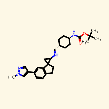 Cn1cc(-c2ccc3c(c2)C2(CC3)CC2NC[C@H]2CC[C@H](NC(=O)OC(C)(C)C)CC2)cn1